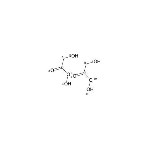 O=C(CO)OO.O=C(CO)OO